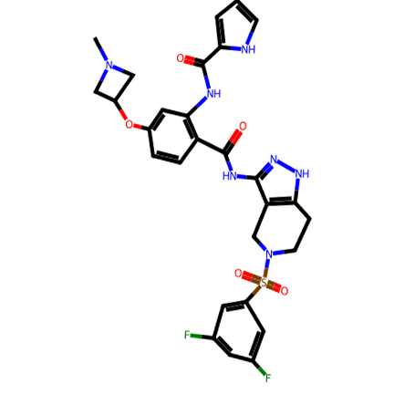 CN1CC(Oc2ccc(C(=O)Nc3n[nH]c4c3CN(S(=O)(=O)c3cc(F)cc(F)c3)CC4)c(NC(=O)c3ccc[nH]3)c2)C1